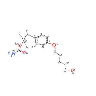 CC(c1ccc(OCCCCCBr)cc1)C(C)(C)OC(N)=O